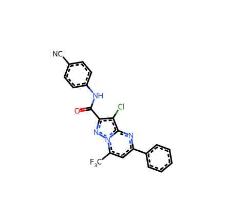 N#Cc1ccc(NC(=O)c2nn3c(C(F)(F)F)cc(-c4ccccc4)nc3c2Cl)cc1